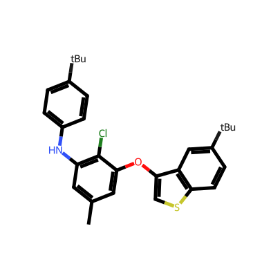 Cc1cc(Nc2ccc(C(C)(C)C)cc2)c(Cl)c(Oc2csc3ccc(C(C)(C)C)cc23)c1